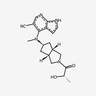 C[C@H](O)C(=O)N1C[C@H]2C[C@H](N(C)c3c(C#N)cnc4[nH]ccc34)C[C@H]2C1